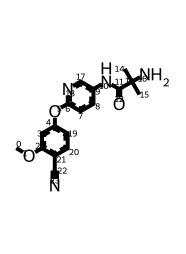 COc1cc(Oc2ccc(NC(=O)C(C)(C)N)cn2)ccc1C#N